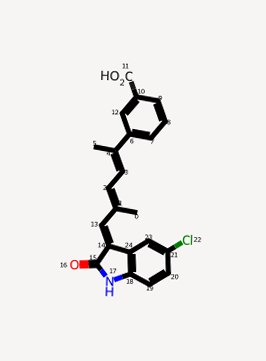 CC(=C\C=C(/C)c1cccc(C(=O)O)c1)/C=C1/C(=O)Nc2ccc(Cl)cc21